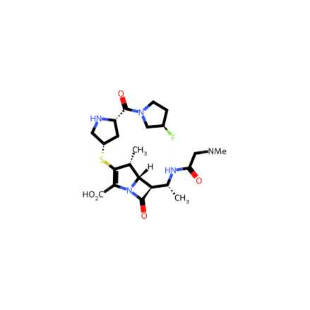 CNCC(=O)N[C@H](C)[C@H]1C(=O)N2C(C(=O)O)=C(S[C@@H]3CN[C@H](C(=O)N4CC[C@@H](F)C4)C3)[C@H](C)[C@H]12